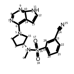 CN([C@@H]1CCN(c2ncnc3[nH]ccc23)C1)S(=O)(=O)c1cccc(C#N)c1